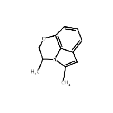 Cc1cc2cccc3c2n1C(C)CO3